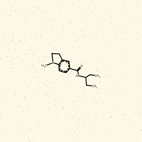 CCC(CC)NC(=O)c1ccc2c(c1)CCN2C